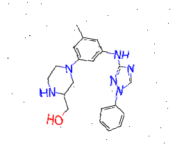 Cc1cc(Nc2ncn(-c3ccccc3)n2)cc(N2CCNC(CO)C2)c1